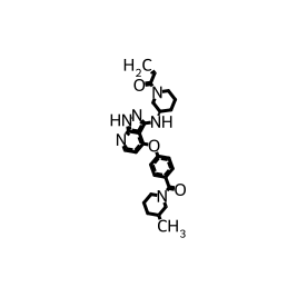 C=CC(=O)N1CCC[C@@H](Nc2n[nH]c3nccc(Oc4ccc(C(=O)N5CCCC(C)C5)cc4)c23)C1